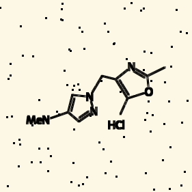 CNc1cnn(Cc2nc(C)oc2C)c1.Cl